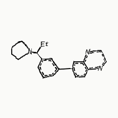 CCC(c1cccc(-c2ccc3nccnc3c2)c1)N1CCCC1